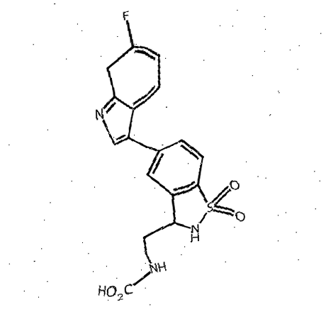 O=C(O)NCC1NS(=O)(=O)c2ccc(C3=CN=C4CC(F)=CC=C34)cc21